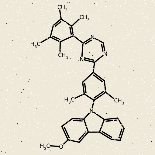 COc1ccc2c(c1)c1ccccc1n2-c1c(C)cc(-c2ncnc(-c3c(C)c(C)cc(C)c3C)n2)cc1C